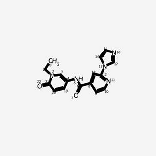 CCn1cc(NC(=O)c2ccnc(-n3ccnc3)c2)ccc1=O